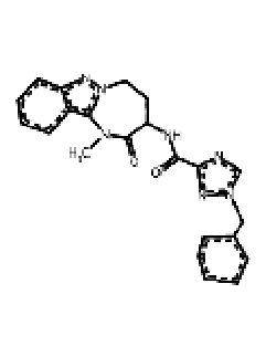 CN1C(=O)C(NC(=O)c2ncn(Cc3ccccc3)n2)CCn2nc3ccccc3c21